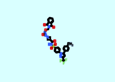 Cc1ccc(-c2cc(C(F)(F)F)nn2-c2ccc(S(=O)(=O)NC(=O)C3CN(n4on4OCN4C(=O)c5ccccc5C4=O)C3)cc2)cc1